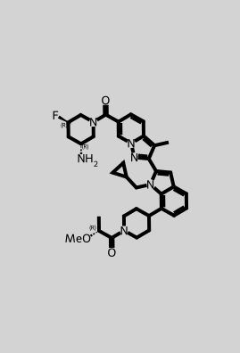 CO[C@H](C)C(=O)N1CCC(c2cccc3cc(-c4nn5cc(C(=O)N6C[C@H](N)C[C@@H](F)C6)ccc5c4C)n(CC4CC4)c23)CC1